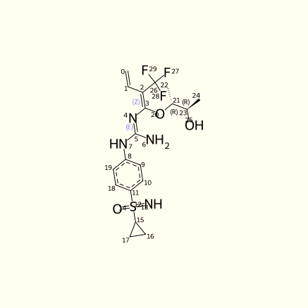 C=C/C(=C(\N=C(/N)Nc1ccc(S(=N)(=O)C2CC2)cc1)O[C@H](C)[C@@H](C)O)C(F)(F)F